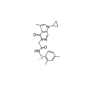 Cc1ccc([C@H](C)NC(=O)Cn2ncc3c(c(C)cn3C3CC3)c2=O)c(C)c1